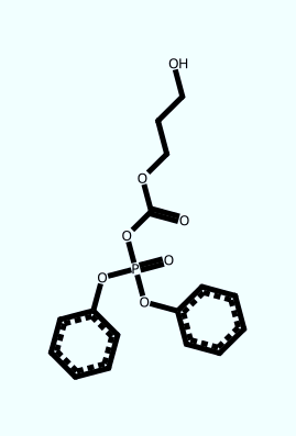 O=C(OCCCO)OP(=O)(Oc1ccccc1)Oc1ccccc1